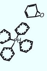 C1=CC2OC2C=C1.c1ccc([PH](c2ccccc2)(c2ccccc2)c2ccccc2)cc1